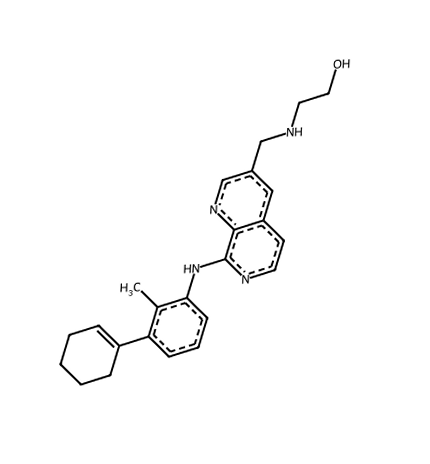 Cc1c(Nc2nccc3cc(CNCCO)cnc23)cccc1C1=CCCCC1